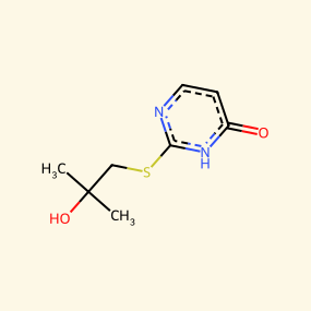 CC(C)(O)CSc1nccc(=O)[nH]1